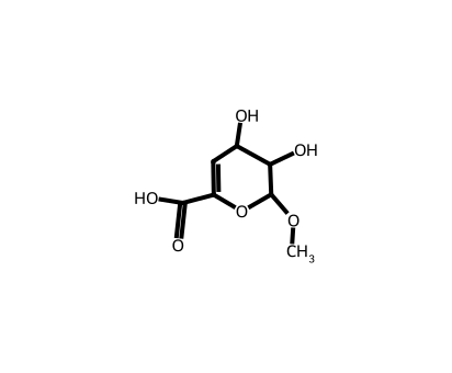 COC1OC(C(=O)O)=CC(O)C1O